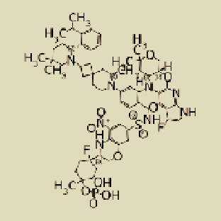 CC(C)c1ccccc1[C@H]1CCC(C)(C)CN1C1CC2(CCN(c3ccc(C(=O)NS(=O)(=O)c4cc5c(c([N+](=O)[O-])c4)N[C@H](C4(F)CCC(C)(OP(=O)(O)O)CC4)CO5)c(N4c5cc6c(F)c[nH]c6nc5O[C@H]5COC(C)(C)C[C@@H]54)c3)[C@H](C)C2)C1